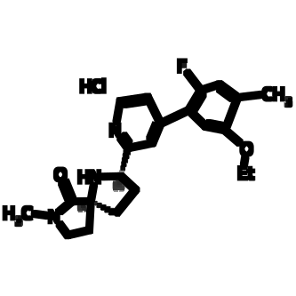 CCOc1cc(-c2ccnc([C@@H]3CC[C@@]4(CCN(C)C4=O)N3)c2)c(F)cc1C.Cl